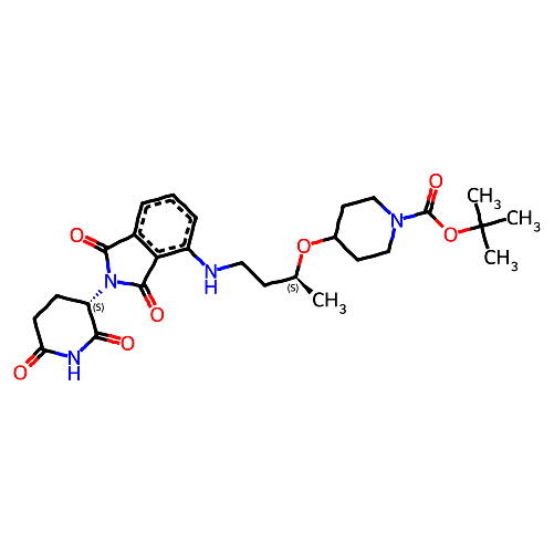 C[C@@H](CCNc1cccc2c1C(=O)N([C@H]1CCC(=O)NC1=O)C2=O)OC1CCN(C(=O)OC(C)(C)C)CC1